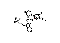 Cn1ccc([C@@H]2CCNC[C@H]2C(=O)N(Cc2cn(CCCC(F)(F)F)c3ccccc23)C2CC2)cc1=O